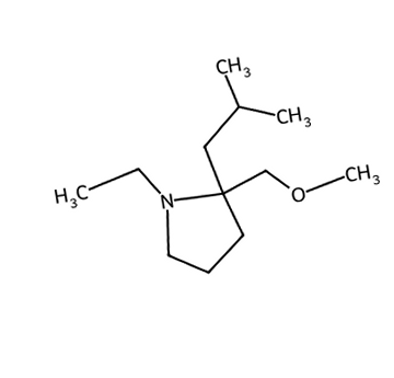 CCN1CCCC1(COC)CC(C)C